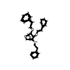 c1ccc(CCOC2C3COC(O3)C(OCCc3ccccc3)C2OCCc2ccccc2)cc1